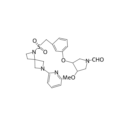 COC1CN(C=O)CC1Oc1cccc(CS(=O)(=O)N2CCC23CN(c2ccccn2)C3)c1